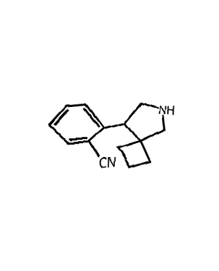 N#Cc1ccccc1C1CNCC12CCC2